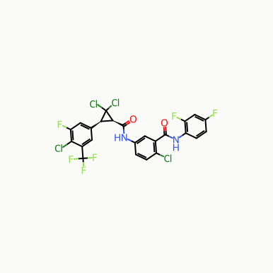 O=C(Nc1ccc(F)cc1F)c1cc(NC(=O)[C@H]2[C@@H](c3cc(F)c(Cl)c(C(F)(F)F)c3)C2(Cl)Cl)ccc1Cl